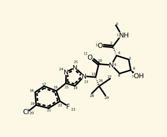 CNC(=O)[C@@H]1C[C@@H](O)CN1C(=O)[C@@H](n1cc(-c2ccc(Cl)cc2F)nn1)C(C)(C)C